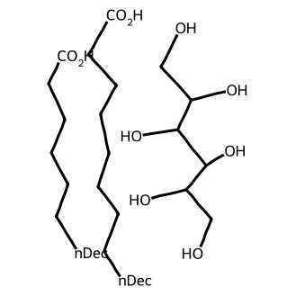 CCCCCCCCCCCCCCCC(=O)O.CCCCCCCCCCCCCCCCCC(=O)O.OCC(O)C(O)C(O)C(O)CO